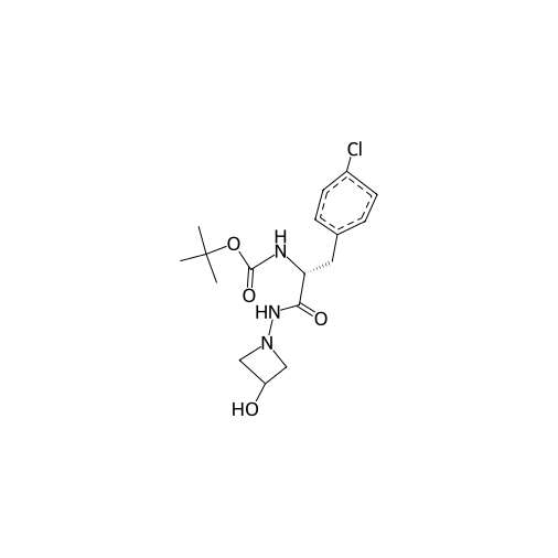 CC(C)(C)OC(=O)N[C@H](Cc1ccc(Cl)cc1)C(=O)NN1CC(O)C1